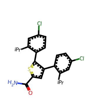 CC(C)c1cc(Cl)ccc1-c1cc(C(N)=O)sc1-c1ccc(Cl)cc1C(C)C